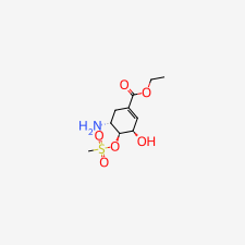 CCOC(=O)C1=C[C@@H](O)[C@@H](OS(C)(=O)=O)[C@H](N)C1